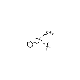 CCCCCC1(CCCCC(F)(F)F)CCC(C2CCCCC2)CC1